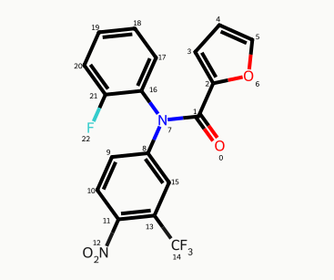 O=C(c1ccco1)N(c1ccc([N+](=O)[O-])c(C(F)(F)F)c1)c1ccccc1F